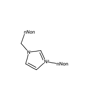 CCCCCCCCCCn1cc[n+](CCCCCCCCC)c1